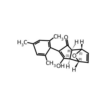 Cc1cc(C)c(C2=C(O)[C@H]3[C@@H](C2=O)[C@@H]2C=C[C@H]3O2)c(C)c1